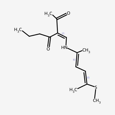 CCCC(=O)/C(=C\N/C(C)=C/C=C(\C)SC)C(C)=O